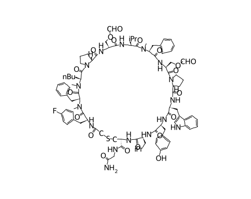 CCCC[C@H]1C(=O)N2CCC[C@@H]2C(=O)N[C@@H](COC=O)C(=O)N[C@@H](C(C)C)C(=O)N(C)[C@@H](Cc2ccccc2)C(=O)N[C@@H](COC=O)C(=O)N2CCC[C@@H]2C(=O)N[C@@H](Cc2c[nH]c3ccccc23)C(=O)N[C@@H](Cc2ccc(O)cc2)C(=O)N[C@@H](CC(C)C)C(=O)N[C@H](C(=O)NCC(N)=O)CSCC(=O)N[C@@H](Cc2ccc(F)cc2)C(=O)N(C)[C@@H](Cc2ccccc2)C(=O)N1C